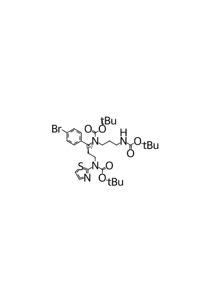 CC(C)(C)OC(=O)NCCCN(C(=O)OC(C)(C)C)[C@@H](CCN(C(=O)OC(C)(C)C)c1nccs1)c1ccc(Br)cc1